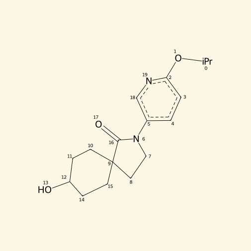 CC(C)Oc1ccc(N2CCC3(CCC(O)CC3)C2=O)cn1